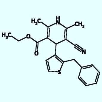 CCOC(=O)C1=C(C)NC(C)=C(C#N)C1c1ccsc1Cc1ccccc1